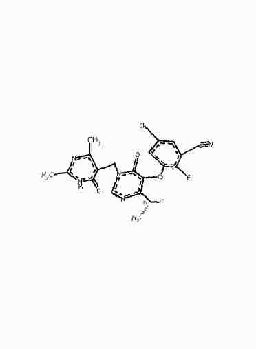 Cc1nc(C)c(Cn2cnc([C@@H](C)F)c(Oc3cc(Cl)cc(C#N)c3F)c2=O)c(=O)[nH]1